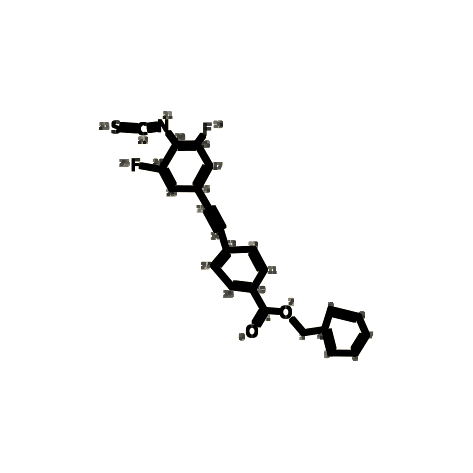 O=C(OCc1ccccc1)c1ccc(C#Cc2cc(F)c(N=C=S)c(F)c2)cc1